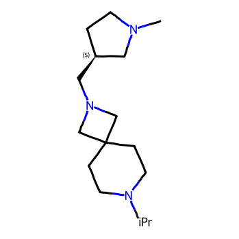 CC(C)N1CCC2(CC1)CN(C[C@H]1CCN(C)C1)C2